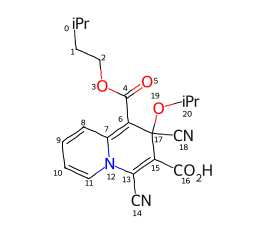 CC(C)CCOC(=O)C1=C2C=CC=CN2C(C#N)=C(C(=O)O)C1(C#N)OC(C)C